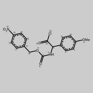 COc1ccc(C(NC(=O)OCc2ccc([N+](=O)[O-])cc2)C(=O)Cl)cc1